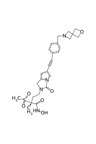 C[C@@](CCN1Cc2cc(C#Cc3ccc(CN4CC5(COC5)C4)cc3)cn2C1=O)(C(=O)NO)S(C)(=O)=O